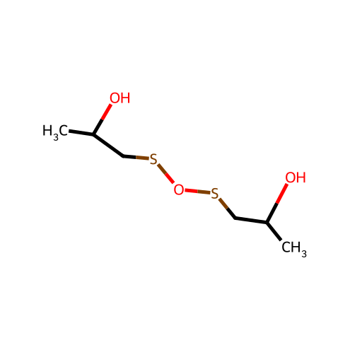 CC(O)CSOSCC(C)O